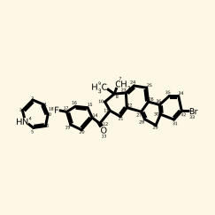 C1=CC=CNC=C1.CC1(C)CC(C(=O)c2ccc(F)cc2)C=c2c1ccc1c2=CCc2cc(Br)ccc2-1